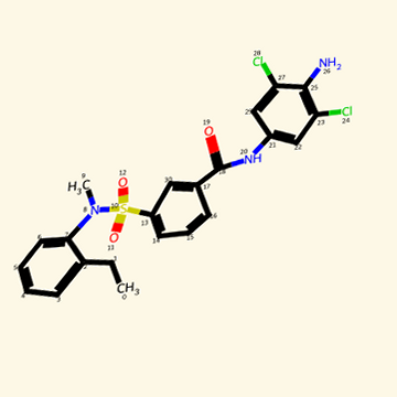 CCc1ccccc1N(C)S(=O)(=O)c1cccc(C(=O)Nc2cc(Cl)c(N)c(Cl)c2)c1